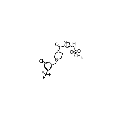 CS(=O)(=O)Nc1cnn(C(=O)N2CCN(Cc3cc(Cl)cc(C(F)(F)F)c3)CC2)c1